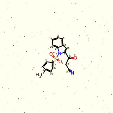 Cc1ccc(S(=O)(=O)n2c(C(=O)CC#N)cc3ccccc32)cc1